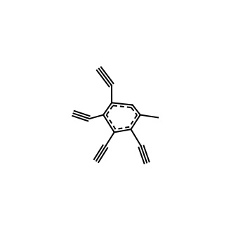 C#Cc1cc(C)c(C#C)c(C#C)c1C#C